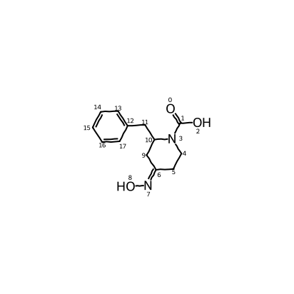 O=C(O)N1CC/C(=N/O)CC1Cc1ccccc1